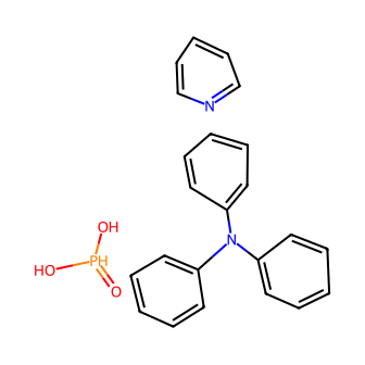 O=[PH](O)O.c1ccc(N(c2ccccc2)c2ccccc2)cc1.c1ccncc1